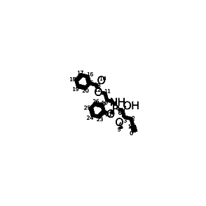 C#CCC(OC)C(O)P(NCCOC(=O)c1ccccc1)Oc1ccccc1